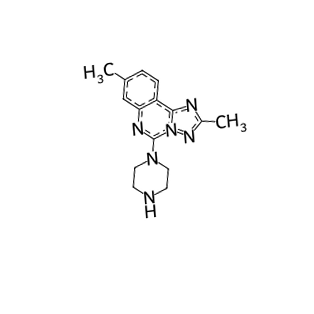 Cc1ccc2c(c1)nc(N1CCNCC1)n1nc(C)nc21